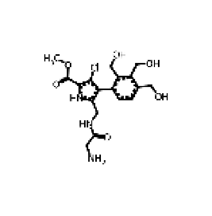 COC(=O)c1[nH]c(CNC(=O)CN)c(-c2ccc(CO)c(CO)c2CO)c1Cl